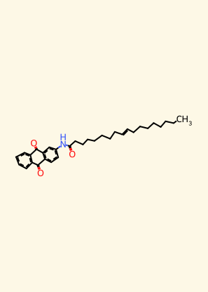 CCCCCCCCC=CCCCCCCCC(=O)Nc1ccc2c(c1)C(=O)c1ccccc1C2=O